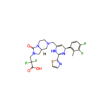 Cc1c([C@@H]2C=C(CN3CCN4C(=O)N(CC(F)(F)C(=O)O)C[C@@H]4C3)NC(c3nccs3)=N2)ccc(F)c1F